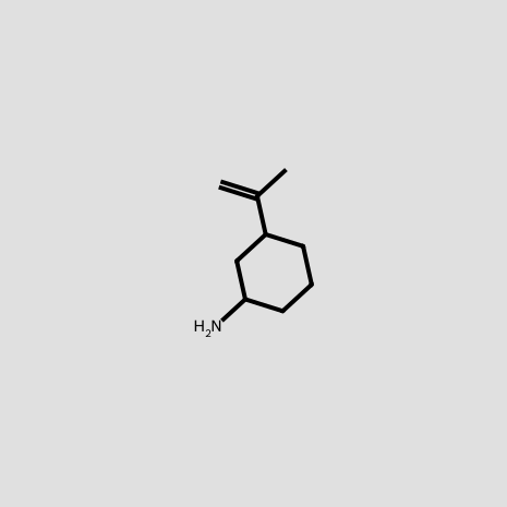 C=C(C)C1CCCC(N)C1